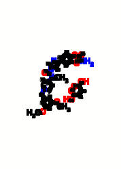 COc1cc(CN2CCC(N(C)C(=O)n3cnc(-c4ccc(OS(N)(=O)=O)cc4)c3)CC2)cc(OC)c1.O=C(O)/C=C\C(=O)O